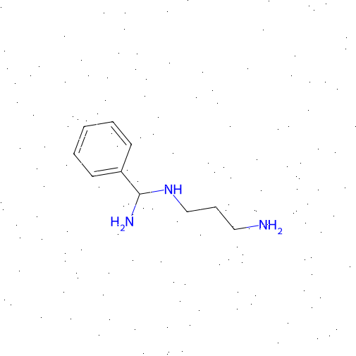 NCCCNC(N)c1ccccc1